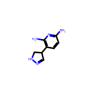 Nc1ccc(C2C=NNC2)c(N)n1